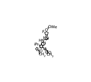 C=CC(=O)N1CCC[C@@H]1c1cc(N2CC(CS(C)(=O)=O)C2)c2cnc(Nc3ccnc(N4CC[C@@H](OCCOC)[C@@H](F)C4)n3)cc2c1C(C)C